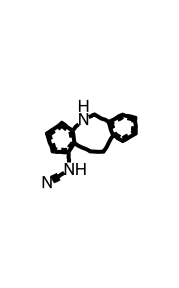 N#CNc1cccc2c1CCc1ccccc1CN2